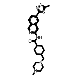 Cc1nnc(-c2ccc3cnc(NC(=O)C4CCC(CN5CCN(C)CC5)CC4)cc3c2)s1